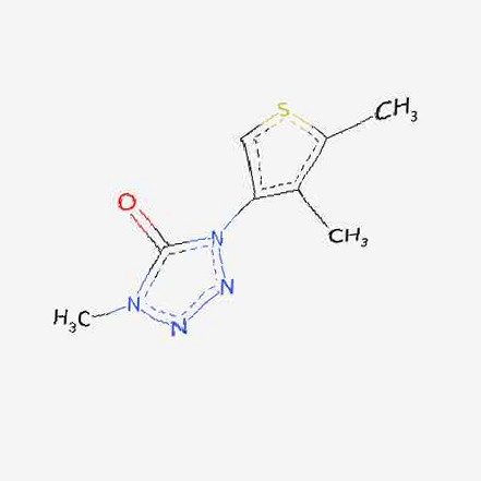 Cc1scc(-n2nnn(C)c2=O)c1C